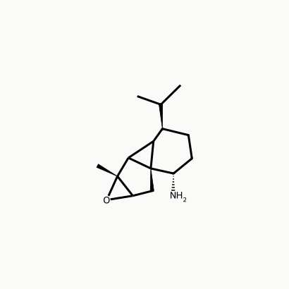 CC(C)[C@H]1CC[C@H](N)[C@]23CC4O[C@]4(C)C2C13